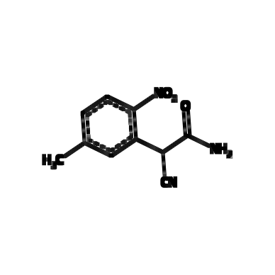 Cc1ccc([N+](=O)[O-])c(C(C#N)C(N)=O)c1